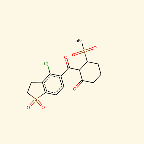 CCCS(=O)(=O)C1CCCC(=O)C1C(=O)c1ccc2c(c1Cl)CCS2(=O)=O